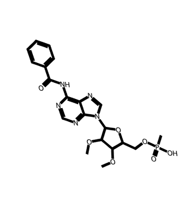 COC1C(COP(C)(=O)O)OC(n2cnc3c(NC(=O)c4ccccc4)ncnc32)C1OC